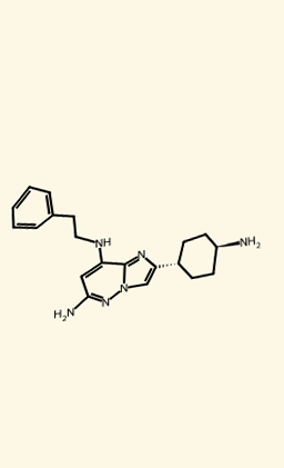 Nc1cc(NCCc2ccccc2)c2nc([C@H]3CC[C@H](N)CC3)cn2n1